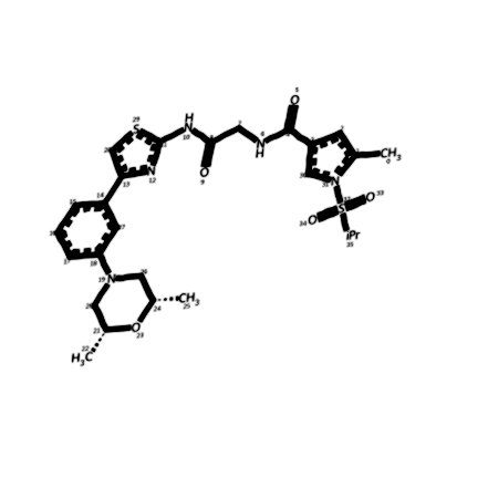 Cc1cc(C(=O)NCC(=O)Nc2nc(-c3cccc(N4C[C@@H](C)O[C@@H](C)C4)c3)cs2)cn1S(=O)(=O)C(C)C